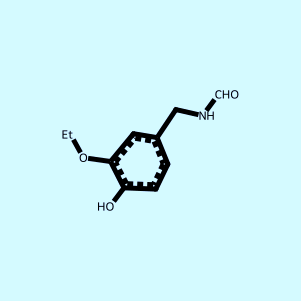 CCOc1cc(CNC=O)ccc1O